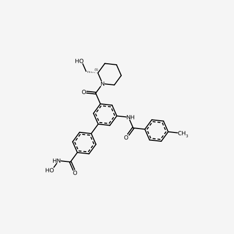 Cc1ccc(C(=O)Nc2cc(C(=O)N3CCCC[C@H]3CO)cc(-c3ccc(C(=O)NO)cc3)c2)cc1